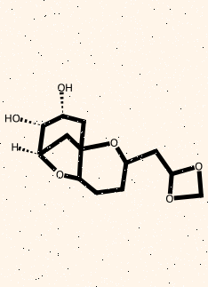 O[C@@H]1[C@H](O)CC23C[C@H]1OC2CCC(CC1OCO1)O3